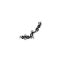 O=C(CCCN1CCN(c2ccc(C(F)(F)F)cc2)CC1)N1CCC(Nc2ccc(S(=O)(=O)c3ccc(F)cc3)cc2)CC1